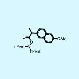 CCCCCN(CCCCC)OC(=O)C(C)c1ccc2cc(OC)ccc2c1